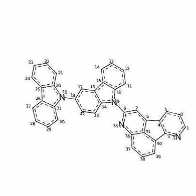 c1cnc2c(c1)-c1cc(-n3c4ccccc4c4cc(-n5c6ccccc6c6ccccc65)ccc43)nc3cccc-2c13